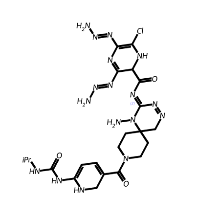 CC(C)NC(=O)NC1=CC=C(C(=O)N2CCC3(CC2)CN=N/C(=N\C(=O)C2NC(Cl)=C(N=NN)N=C2N=NN)N3N)CN1